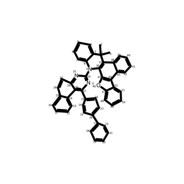 CC1(C)c2ccccc2N(c2nc(-c3ccc(-c4ccccc4)cc3)c3c(ccc4ccccc43)n2)c2c1c1ccccc1c1c2oc2ccccc21